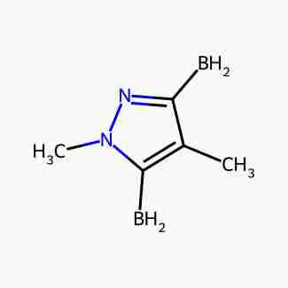 Bc1nn(C)c(B)c1C